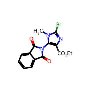 CCOC(=O)c1nc(Br)n(C)c1N1C(=O)c2ccccc2C1=O